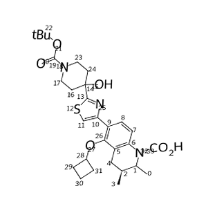 CC1[C@@H](C)Cc2c(ccc(-c3csc(C4(O)CCN(C(=O)OC(C)(C)C)CC4)n3)c2OC2CCC2)N1C(=O)O